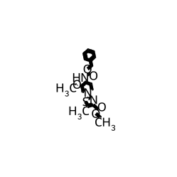 CCOC(=O)c1nc(N2CC[C@@H](NC(=O)OCc3ccccc3)[C@@H](OC)C2)sc1C